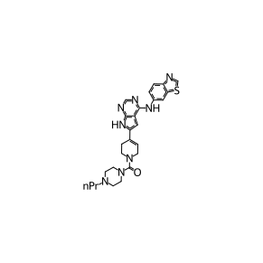 CCCN1CCN(C(=O)N2CC=C(c3cc4c(Nc5ccc6ncsc6c5)ncnc4[nH]3)CC2)CC1